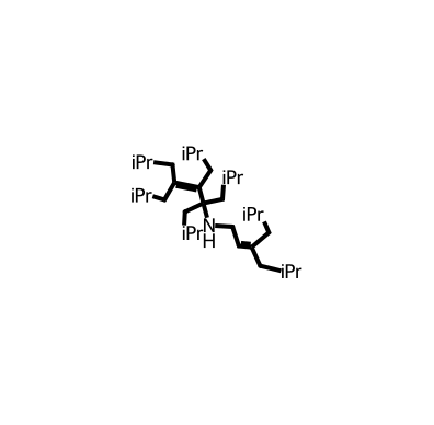 CC(C)CC(=CCNC(CC(C)C)(CC(C)C)C(CC(C)C)=C(CC(C)C)CC(C)C)CC(C)C